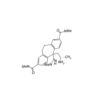 CNC(=N)C1(C[C@H](C)N)c2ccc(C(=O)NC)cc2CCc2cc(C(=O)NC)ccc21